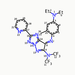 CCN(CC)c1ccc(/N=C2/C(N(C(F)(F)F)C(F)(F)F)=Nn3nc(-c4ccccn4)nc32)c(C)c1